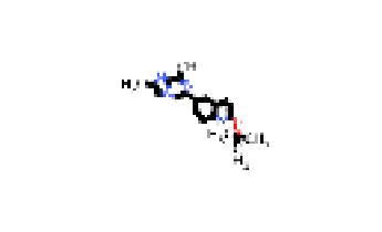 Cc1cn2cc(-c3ccc4nc(OC(C)(C)C)ccc4c3)nc(C)c2n1